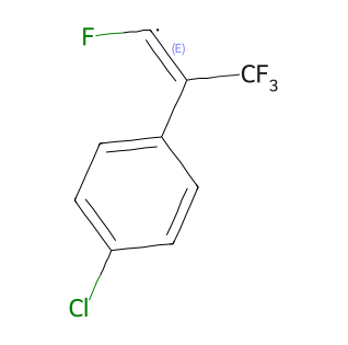 F/[C]=C(\c1ccc(Cl)cc1)C(F)(F)F